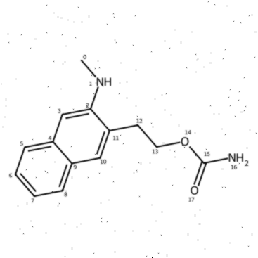 CNc1cc2ccccc2cc1CCOC(N)=O